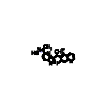 C/C(=N/O)c1ccc2nnc(C(C)c3c(F)cc4ncccc4c3F)n2n1